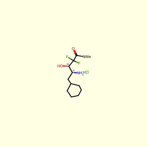 CNC(=O)C(F)(F)[C@H](O)[C@@H](N)CC1CCCCC1.Cl